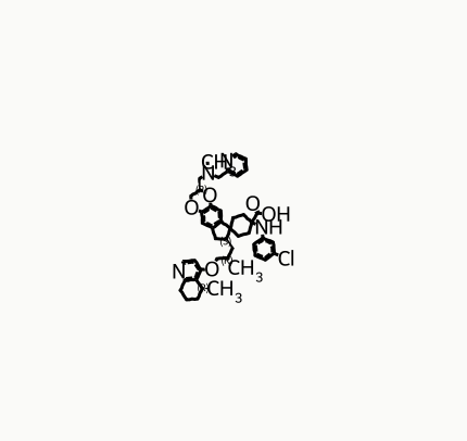 C[C@@H](COc1ccnc2c1[C@H](C)CCC2)C[C@H]1Cc2cc3c(cc2C12CCC(Nc1cccc(Cl)c1)(C(=O)O)CC2)O[C@H](CN(C)Cc1ccccn1)CO3